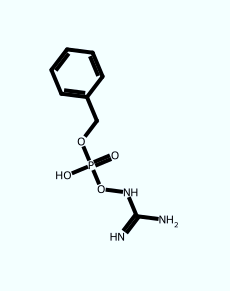 N=C(N)NOP(=O)(O)OCc1ccccc1